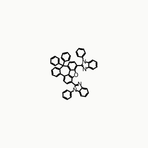 c1ccc(-n2c(-c3ccc4c5c3oc3c(-c6nc7ccccc7n6-c6ccccc6)ccc(c35)C(c3ccccc3)(c3ccccc3)c3ccccc3-4)nc3ccccc32)cc1